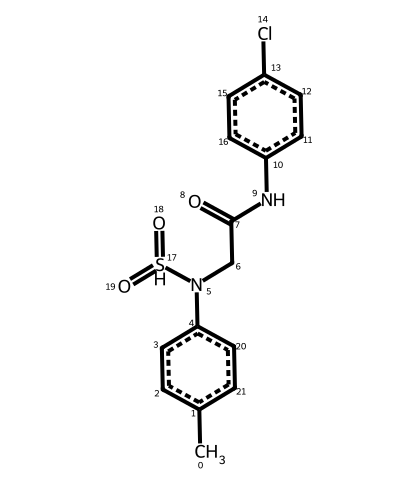 Cc1ccc(N(CC(=O)Nc2ccc(Cl)cc2)[SH](=O)=O)cc1